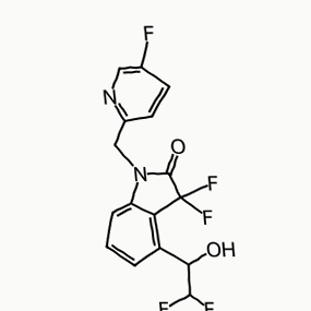 O=C1N(Cc2ccc(F)cn2)c2cccc(C(O)C(F)F)c2C1(F)F